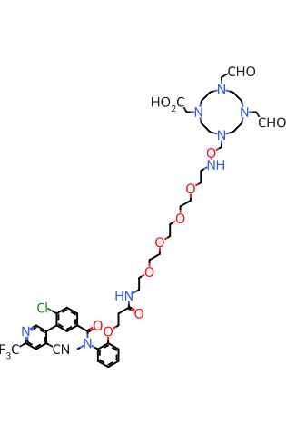 CN(C(=O)c1ccc(Cl)c(-c2cnc(C(F)(F)F)cc2C#N)c1)c1ccccc1OCCC(=O)NCCOCCOCCOCCOCCNOCN1CCN(CC=O)CCN(CC=O)CCN(CC(=O)O)CC1